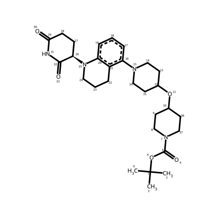 CC(C)(C)OC(=O)N1CCC(OC2CCN(c3cccc4c3CCCN4[C@@H]3CCC(=O)NC3=O)CC2)CC1